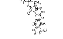 CC(C)CN1C(=O)C2CN(CC(=O)Nc3c(Cl)cccc3Cl)CCN2C1C